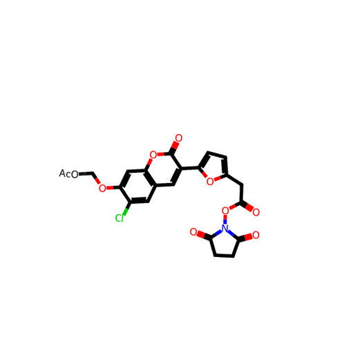 CC(=O)OCOc1cc2oc(=O)c(-c3ccc(CC(=O)ON4C(=O)CCC4=O)o3)cc2cc1Cl